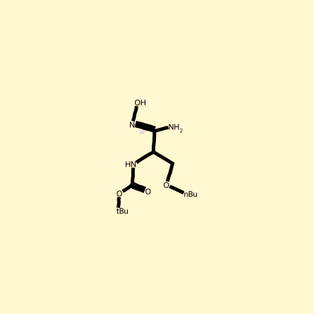 CCCCOCC(NC(=O)OC(C)(C)C)/C(N)=N/O